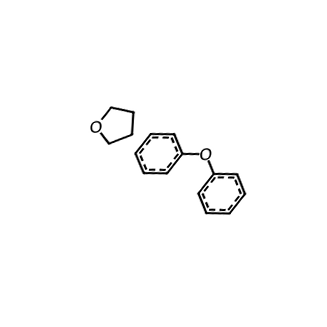 C1CCOC1.c1ccc(Oc2ccccc2)cc1